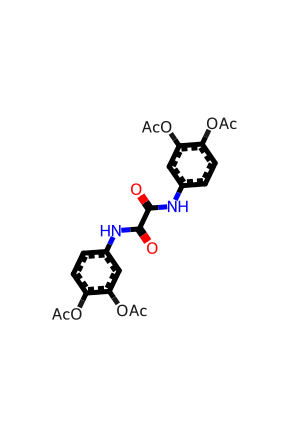 CC(=O)Oc1ccc(NC(=O)C(=O)Nc2ccc(OC(C)=O)c(OC(C)=O)c2)cc1OC(C)=O